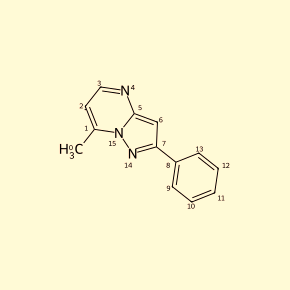 Cc1[c]cnc2cc(-c3ccccc3)nn12